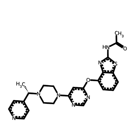 CC(=O)Nc1nc2c(Oc3cc(N4CCN([C@@H](C)c5ccncc5)CC4)ncn3)cccc2s1